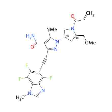 C=CC(=O)N1C[C@@H](n2nc(C#Cc3c(F)c(F)c4c(ncn4C)c3F)c(C(N)=O)c2NC)C[C@@H]1COC